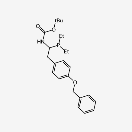 CCP(CC)C(Cc1ccc(OCc2ccccc2)cc1)NC(=O)OC(C)(C)C